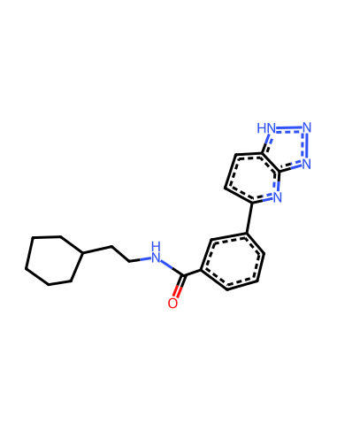 O=C(NCCC1CCCCC1)c1cccc(-c2ccc3[nH]nnc3n2)c1